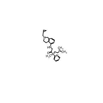 CN(C)CC[N+](C)(C(=O)CNc1cccc2c1CCN(CC1CC1)C2)c1ccccn1